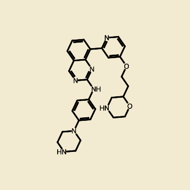 c1cc(-c2cc(OCCC3CNCCO3)ccn2)c2nc(Nc3ccc(N4CCNCC4)cc3)ncc2c1